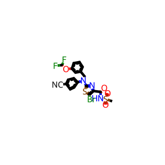 CS(=O)(=O)NC(=O)c1nc(N(Cc2cccc(OC(F)F)c2)c2ccc(C#N)cc2)sc1Br